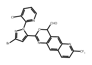 O=CC1OC(c2cc(Br)nn2-c2ncccc2Cl)=Nc2cc3ccc(C(F)(F)F)nc3cc21